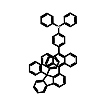 c1ccc(N(c2ccccc2)c2ccc(-c3c4ccccc4c(-c4cccc5c4C(c4ccccc4)(c4ccccc4)c4ccccc4-5)c4ccccc34)cc2)cc1